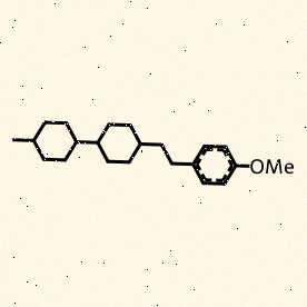 COc1ccc(CCC2CCC(C3CCC(C)CC3)CC2)cc1